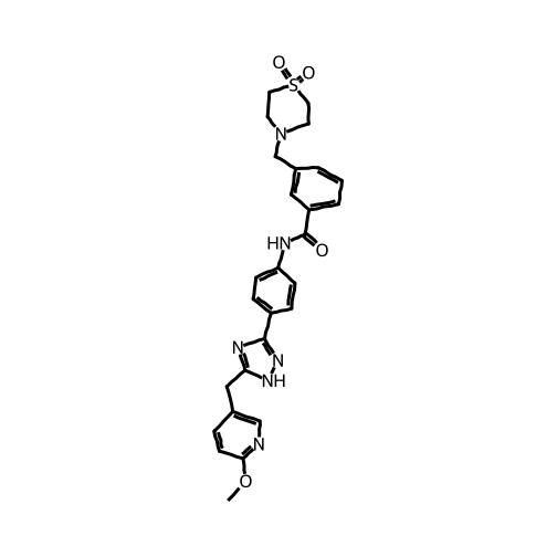 COc1ccc(Cc2nc(-c3ccc(NC(=O)c4cccc(CN5CCS(=O)(=O)CC5)c4)cc3)n[nH]2)cn1